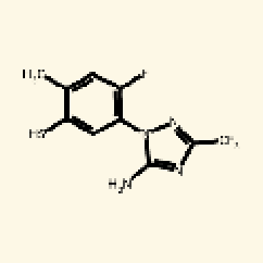 Cc1cc(F)c(-n2nc(C(F)(F)F)nc2N)cc1S